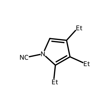 CCc1cn(C#N)c(CC)c1CC